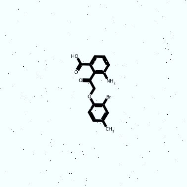 Cc1ccc(OCC(=O)c2c(N)cccc2C(=O)O)c(Br)c1